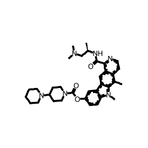 Cc1c2ccnc(C(=O)N[C@H](C)CN(C)C)c2cc2c3cc(OC(=O)N4CCC(N5CCCCC5)CC4)ccc3n(C)c12